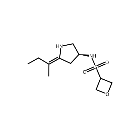 CC/C(C)=C1/C[C@H](NS(=O)(=O)C2COC2)CN1